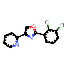 Clc1cccc(-c2nc(-c3ccccn3)co2)c1Cl